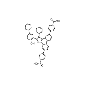 O=C(O)c1ccc(-c2ccc3c4ccc(-c5ccc(C(=O)O)cc5)cc4c4c(nc(-c5cc(-c6ccccc6)ccc5O)n4-c4ccccc4)c3c2)cc1